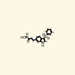 O=C(/C=C/c1ccc2c(S(=O)(=O)c3ccccc3)c[nH]c2c1)NO